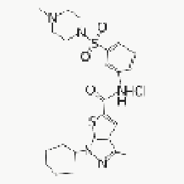 Cc1nn(C2CCCCC2)c2sc(C(=O)Nc3cccc(S(=O)(=O)N4CCN(C)CC4)c3)cc12.Cl